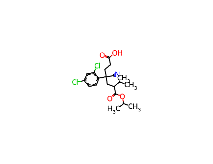 CC(C)OC(=O)C(CC(C#N)(CCC(=O)O)c1ccc(Cl)cc1Cl)C(C)C